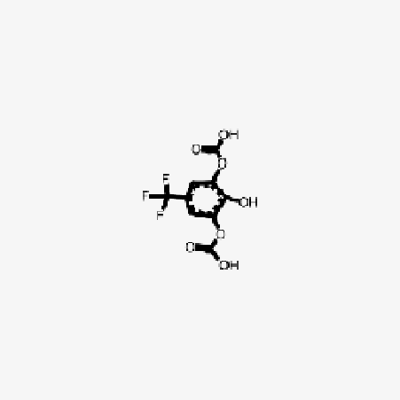 O=C(O)Oc1cc(C(F)(F)F)cc(OC(=O)O)c1O